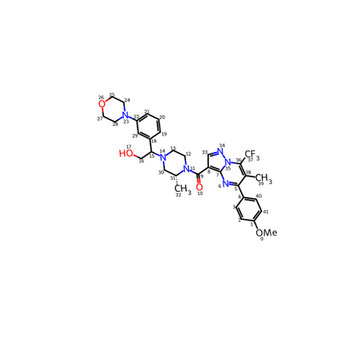 COc1ccc(-c2nc3c(C(=O)N4CCN(C(CO)c5cccc(N6CCOCC6)c5)C[C@H]4C)cnn3c(C(F)(F)F)c2C)cc1